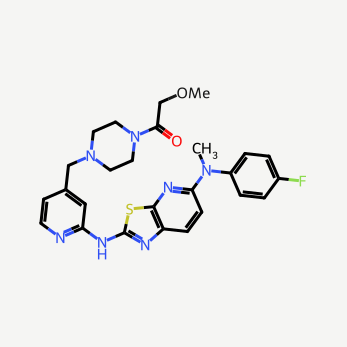 COCC(=O)N1CCN(Cc2ccnc(Nc3nc4ccc(N(C)c5ccc(F)cc5)nc4s3)c2)CC1